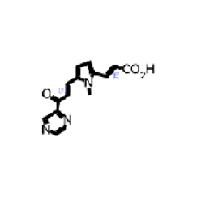 Cn1c(/C=C/C(=O)O)ccc1/C=C/C(=O)c1cnccn1